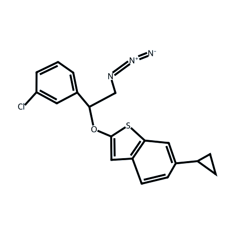 [N-]=[N+]=NCC(Oc1cc2ccc(C3CC3)cc2s1)c1cccc(Cl)c1